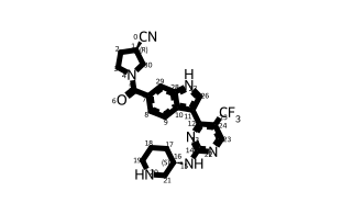 N#C[C@@H]1CCN(C(=O)c2ccc3c(-c4nc(N[C@H]5CCCNC5)ncc4C(F)(F)F)c[nH]c3c2)C1